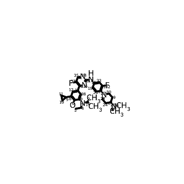 CC(C)N1CCOc2c(C3CC3)cc(-c3nc(Nc4ccc(N5CCC(N(C)C)CC5)c(F)c4)ncc3F)cc21